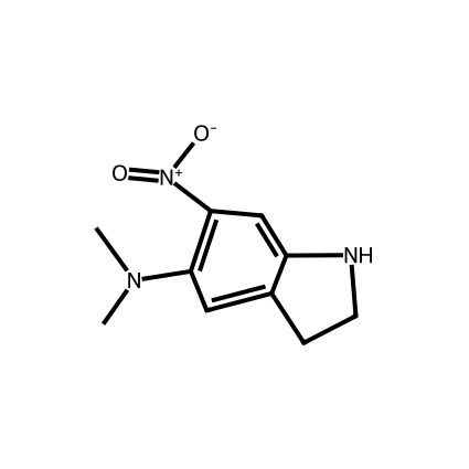 CN(C)c1cc2c(cc1[N+](=O)[O-])NCC2